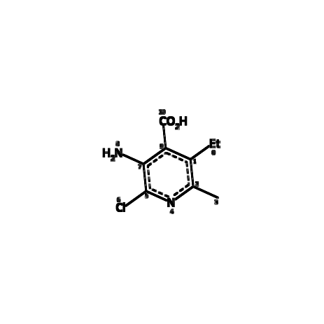 CCc1c(C)nc(Cl)c(N)c1C(=O)O